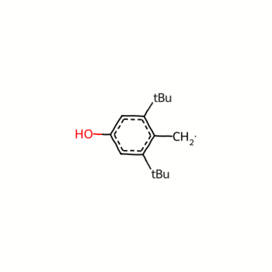 [CH2]c1c(C(C)(C)C)cc(O)cc1C(C)(C)C